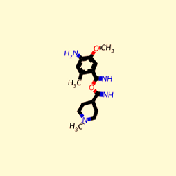 COc1cc(C(=N)OC(=N)C2CCN(C)CC2)c(C)cc1N